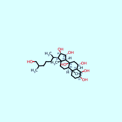 CC(CO)CCCC(C)[C@H]1[C@@H](O)[C@H](O)[C@@H]2[C@]1(C)CC[C@@H]1[C@@]3(C)CC[C@H](O)[C@H](O)[C@@H]3[C@@H](O)C[C@]12O